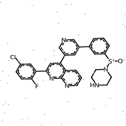 [O-][S+](c1cccc(-c2cncc(-c3cc(-c4cc(Cl)ccc4F)nc4ncccc34)c2)c1)N1CCNCC1